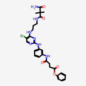 CC(C)(C(N)=O)C(=O)NCCCNc1nc(Nc2cccc(NC(=O)CCC(=O)Oc3ccccc3)c2)ncc1Br